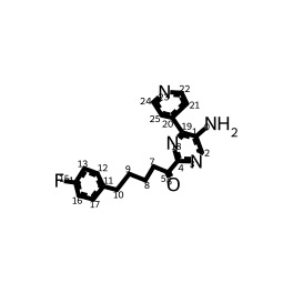 Nc1cnc(C(=O)CCCCc2ccc(F)cc2)nc1-c1ccncc1